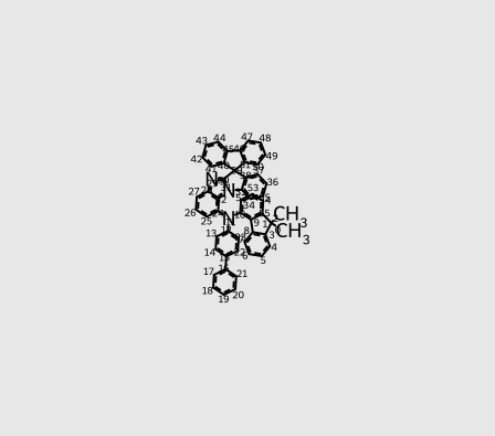 CC1(C)c2ccccc2-c2c(N(c3ccc(-c4ccccc4)cc3)c3cccc4nc5n(c34)-c3ccccc3C53c4ccccc4-c4ccccc43)cccc21